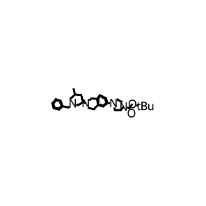 CC1CC(N2CCc3cc(N4CCN(C(=O)OC(C)(C)C)CC4)ccc3C2)CN(Cc2ccccc2)C1